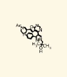 CC(=O)N1C=C(c2cc3c(-c4cn(CC(C)(C)O)nc4-c4ccc(F)cc4)ncnc3o2)CCC1